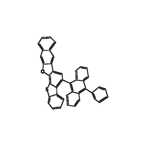 c1ccc(-c2c3ccccc3c(-c3cc4c5cc6ccccc6cc5oc4c4sc5ccccc5c34)c3ccccc23)cc1